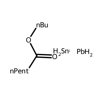 CCCCCC(=O)OCCCC.[PbH2].[SnH2]